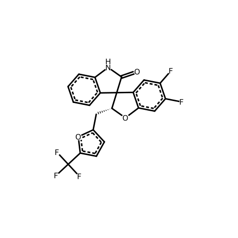 O=C1Nc2ccccc2C12c1cc(F)c(F)cc1O[C@@H]2Cc1ccc(C(F)(F)F)o1